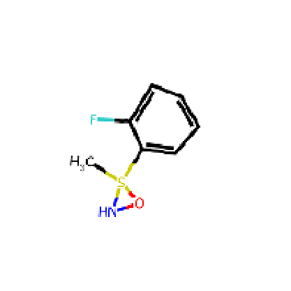 CS1(c2ccccc2F)NO1